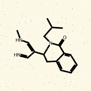 CN/C=C(\C=N)C1Cc2ccccc2C(=O)N1CC(C)C